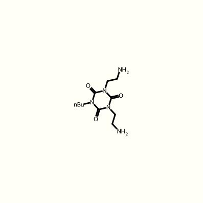 CCCCn1c(=O)n(CCN)c(=O)n(CCN)c1=O